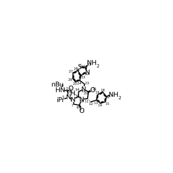 CCCCNC(=O)N(C(C)C)N1CC(=O)N2[C@@H](Cc3ccc(N)cc3)C(=O)N(Cc3cccc4sc(N)nc34)C[C@@H]21